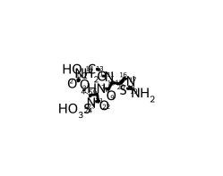 NC(=O)OC[C@@H]1[C@H](NC(=O)/C(=N\OCC(=O)O)c2cnc(N)s2)C(=O)N1S(=O)(=O)O